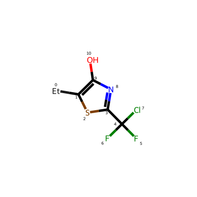 CCc1sc(C(F)(F)Cl)nc1O